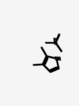 C[SiH](C)C.Cc1cc[nH]c1C